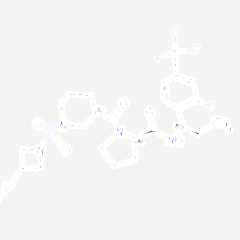 CC[C@@H](NC(=O)[C@H]1CCCN1C(=O)[C@H]1CCCN(S(=O)(=O)N2CC(C#N)C2)C1)c1ccc(C(F)(F)F)cc1F